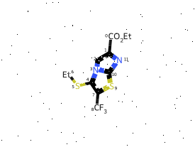 CCOC(=O)c1cn2c(SCC)c(C(F)(F)F)sc2n1